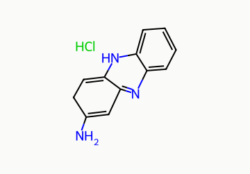 Cl.NC1=CC2=Nc3ccccc3NC2=CC1